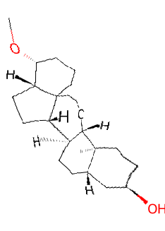 CO[C@@H]1CCCC23CC[C@H]4[C@@H](CC[C@H]5C[C@H](O)CC[C@@]54C)[C@@H]2CC[C@H]13